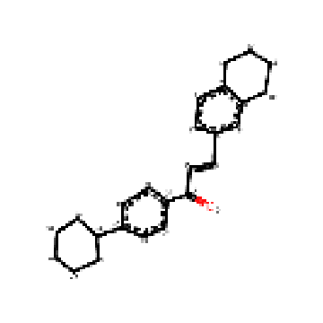 O=C(C=Cc1ccc2c(c1)CCCC2)c1ccc(C2CCCCC2)cc1